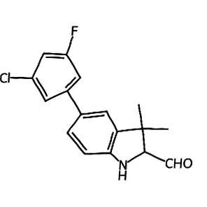 CC1(C)c2cc(-c3cc(F)cc(Cl)c3)ccc2NC1C=O